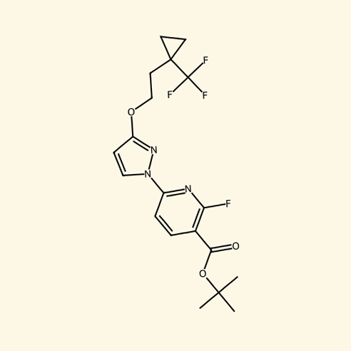 CC(C)(C)OC(=O)c1ccc(-n2ccc(OCCC3(C(F)(F)F)CC3)n2)nc1F